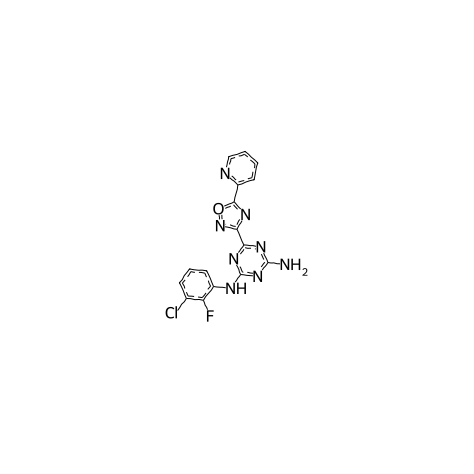 Nc1nc(Nc2cccc(Cl)c2F)nc(-c2noc(-c3ccccn3)n2)n1